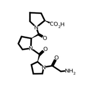 NCC(=O)N1CCC[C@H]1C(=O)N1CCC[C@H]1C(=O)N1CCC[C@H]1C(=O)O